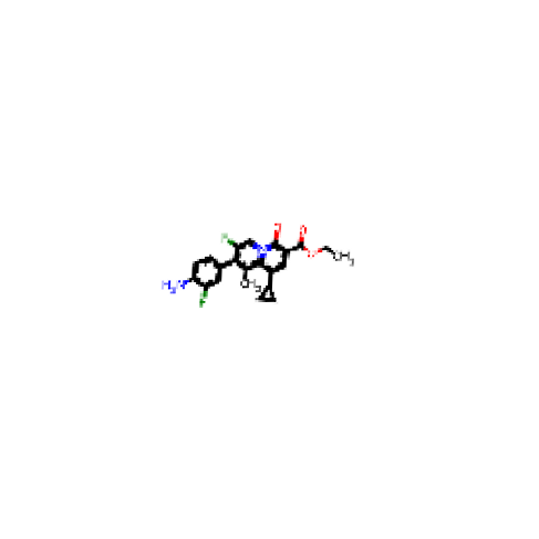 CCOC(=O)c1cc(C2CC2)c2c(C)c(-c3ccc(N)c(F)c3)c(F)cn2c1=O